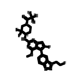 [2H]C([2H])([2H])C(=O)N1CC[C@@H](Nc2nc(OC)c3c(-c4ccc5nnn(CCF)c5c4)c(F)cn3n2)C(F)(F)C1